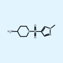 Cn1cc(S(=O)(=O)N2CCC(N)CC2)cn1